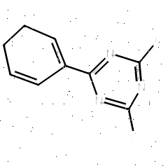 Clc1nc(Cl)nc(C2=CCCC=C2)n1